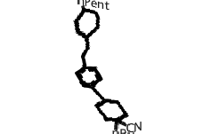 CCCCCC1CCC(CCc2ccc(C3CCC(C#N)(CCCC)CC3)cc2)CC1